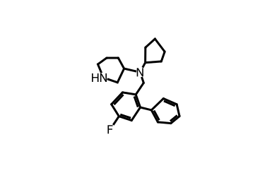 Fc1ccc(CN(C2CCCC2)C2CCCNC2)c(-c2ccccc2)c1